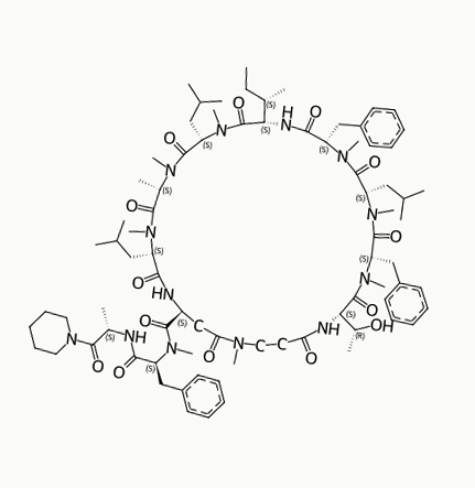 CC[C@H](C)[C@@H]1NC(=O)[C@H](Cc2ccccc2)N(C)C(=O)[C@H](CC(C)C)N(C)C(=O)[C@H](Cc2ccccc2)N(C)C(=O)[C@H]([C@@H](C)O)NC(=O)CCN(C)C(=O)C[C@@H](C(=O)N(C)[C@@H](Cc2ccccc2)C(=O)N[C@@H](C)C(=O)N2CCCCC2)NC(=O)[C@H](CC(C)C)N(C)C(=O)[C@H](C)N(C)C(=O)[C@H](CC(C)C)N(C)C1=O